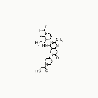 Cc1nc2c(c(N[C@H](C)c3cccc(C(F)F)c3F)n1)CN(N1CCN(C(=O)CO)CC1)C(=O)C2